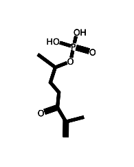 C=C(C)C(=O)CCC(C)OP(=O)(O)O